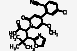 COc1cn(C(C(=O)O)C(c2ncco2)C(C)(C)C)c(=O)cc1-c1cc(Cl)ccc1C#N